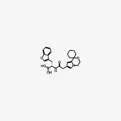 O=C(Cc1cc2n(c1)CCOC21CCCCC1)N[C@@H](Cc1coc2ccccc12)B(O)O